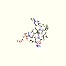 Cn1cc(-c2ccc(-c3c(NS(=O)(=O)CCO)ccc(C(N)=O)c3N3CCC4(CC3)CC4)cc2N2CCC(F)(F)CC2)cn1